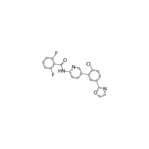 O=C(Nc1ccc(-c2cc(-c3ncco3)ccc2Cl)cn1)c1c(F)cccc1F